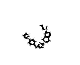 C/C=C/N(C)c1ccc2c(c1)CN(c1ncc(Cc3ccc(-n4cccn4)cc3)s1)CC2